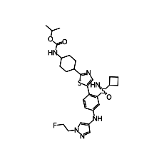 CC(C)OC(=O)NC1CCC(c2ncc(-c3ccc(Nc4cnn(CCF)c4)cc3S(=N)(=O)C3CCC3)s2)CC1